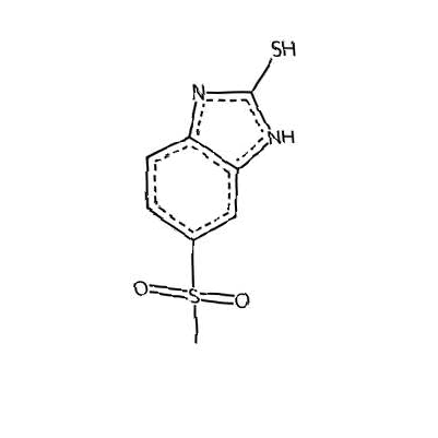 CS(=O)(=O)c1ccc2nc(S)[nH]c2c1